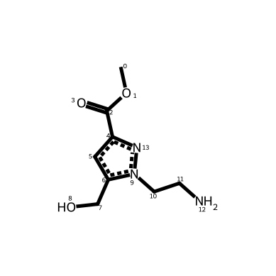 COC(=O)c1cc(CO)n(CCN)n1